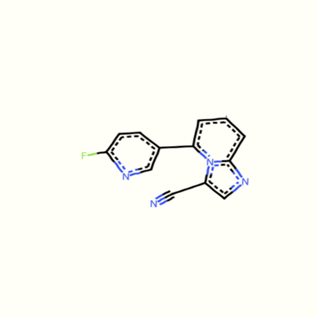 N#Cc1cnc2c[c]cc(-c3ccc(F)nc3)n12